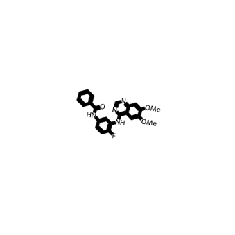 COc1cc2ncnc(Nc3cc(NC(=O)c4ccccc4)ccc3F)c2cc1OC